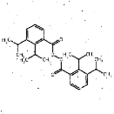 CC(C)c1cccc(C(=O)OOC(=O)c2cccc(C(C)C)c2C(C)C)c1C(C)C